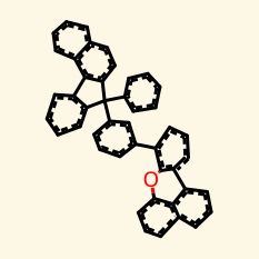 c1ccc(C2(c3cccc(-c4cccc5c4Oc4cccc6cccc-5c46)c3)c3ccccc3-c3c2ccc2ccccc32)cc1